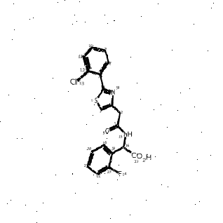 O=C(Cc1csc(-c2ccccc2Cl)n1)NC(C(=O)O)c1ccccc1F